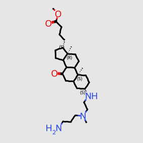 COC(=O)CCC[C@H]1CCC2C3C(=O)CC4C[C@@H](NCCN(C)CCCN)CC[C@]4(C)C3CC[C@@]21C